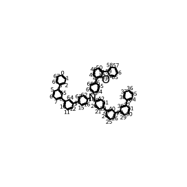 c1ccc(-c2cccc(-c3cccc(-c4ccc(N(c5ccc(-c6cccc(-c7cccc(-c8ccccc8)c7)c6)cc5)c5ccc(-c6cccc7c6oc6ccccc67)cc5)cc4)c3)c2)cc1